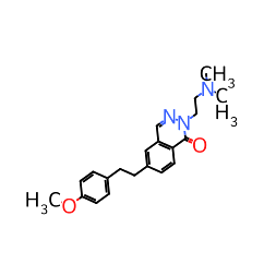 COc1ccc(CCc2ccc3c(=O)n(CCN(C)C)ncc3c2)cc1